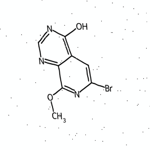 COc1nc(Br)cc2c(O)ncnc12